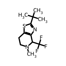 CN1CCc2sc(C(C)(C)C)nc2C1C(F)(F)F